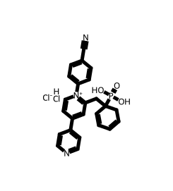 Cl.N#Cc1ccc(-[n+]2ccc(-c3ccncc3)cc2CC2(P(=O)(O)O)C=CC=CC2)cc1.[Cl-]